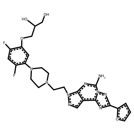 Nc1nc2c(cnn2CCN2CCN(c3cc(OCC(O)CO)c(F)cc3F)CC2)c2nc(-c3ccco3)nn12